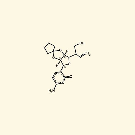 C=CC(CO)C1O[C@@H](n2ccc(N)nc2=O)[C@@H]2OC3(CCCC3)O[C@H]12